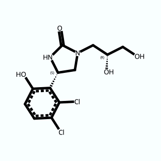 O=C1N[C@@H](c2c(O)ccc(Cl)c2Cl)CN1C[C@@H](O)CO